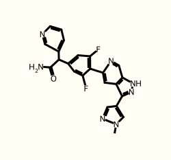 Cn1cc(-c2n[nH]c3cnc(-c4c(F)cc(C(C(N)=O)c5cccnc5)cc4F)cc23)cn1